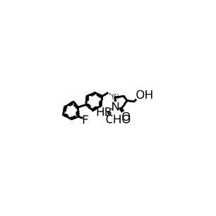 O=CBN1C(=O)C(CO)C[C@H]1Cc1ccc(-c2ccccc2F)cc1